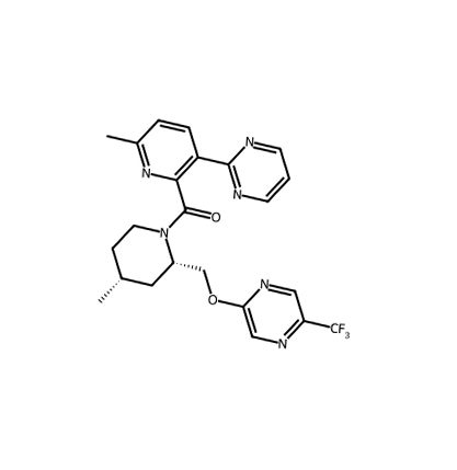 Cc1ccc(-c2ncccn2)c(C(=O)N2CC[C@@H](C)C[C@H]2COc2cnc(C(F)(F)F)cn2)n1